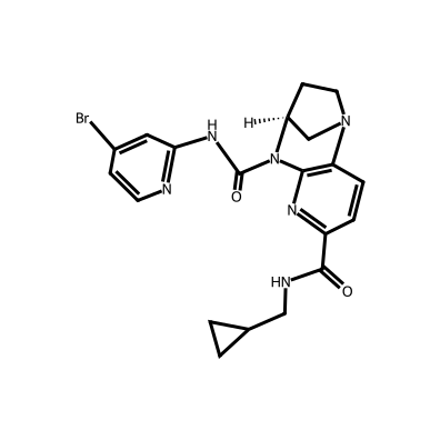 O=C(NCC1CC1)c1ccc2c(n1)N(C(=O)Nc1cc(Br)ccn1)[C@H]1CCN2C1